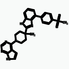 CS(=O)(=O)c1ccc(-c2cccc3[nH]c(C4(N)CCN(c5ncnc6[nH]ccc56)CC4)nc23)cc1